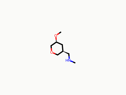 CNC[C@H]1COC[C@@H](OC)C1